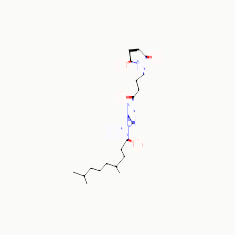 CC(C)CCCC(C)CCC(=O)NCCNC(=O)CCCN1C(=O)C=CC1=O